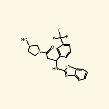 O=C(CC(Nc1nc2ccccc2[nH]1)c1cccc(C(F)(F)F)c1)N1CC[C@@H](O)C1